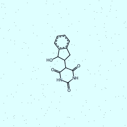 O=C1NC(=O)C(C2Cc3ccccc3C2O)C(=O)N1